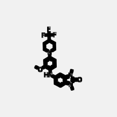 COc1cc(N2CCC(C(F)(F)F)CC2)ccc1Nc1ccc2c(c1)n(C)c(=O)n2C